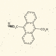 Cl.Cl.O=C(O)c1c2ccccc2c(C(=O)O)c2ccccc12